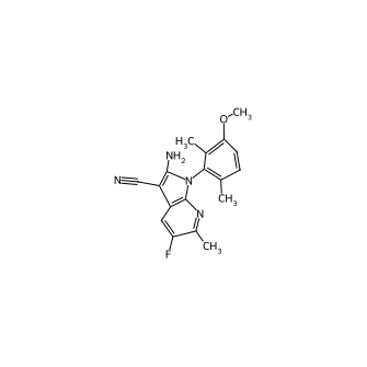 COc1ccc(C)c(-n2c(N)c(C#N)c3cc(F)c(C)nc32)c1C